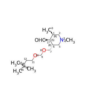 C[C@H]1CN(C)C[C@H](COCOCC[Si](C)(C)C)[C@H]1C=O